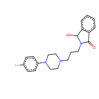 O=C1c2ccccc2C(O)N1CCCN1CCN(c2ccc(F)cc2)CC1